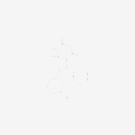 CN1C(=O)C2N(C3CCCCC3)C(N3CCCC(N)C3)=NC2(C)N(C)C1=O